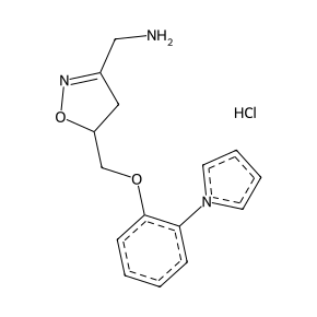 Cl.NCC1=NOC(COc2ccccc2-n2cccc2)C1